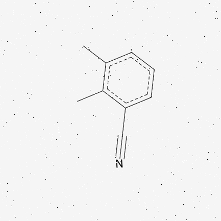 Cc1[c]ccc(C#N)c1C